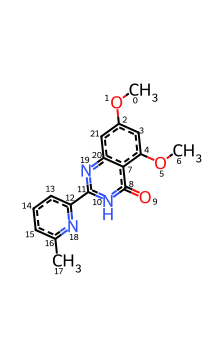 COc1cc(OC)c2c(=O)[nH]c(-c3cccc(C)n3)nc2c1